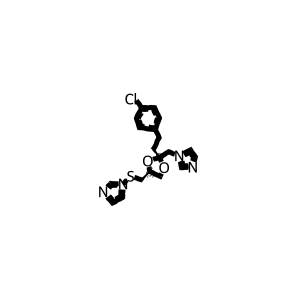 Clc1ccc(CC[C@@]2(Cn3ccnc3)OC[C@@H](CSn3ccnc3)O2)cc1